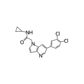 O=C(Cn1ccc2ncc(-c3ccc(Cl)c(Cl)c3)cc21)NC1CC1